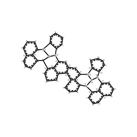 c1ccc2c(c1)N1B3C(c4cccc5cccc1c45)c1cccc4c1c(cc1cc5c6c(cccc6c14)N1B4N(c6ccccc6N45)c4cccc5cccc1c45)N32